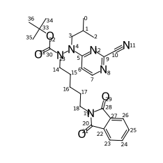 CC(C)CN(c1ccnc(C#N)n1)N(CCCCCN1C(=O)c2ccccc2C1=O)C(=O)OC(C)(C)C